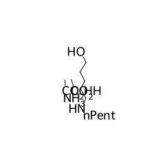 CC(=O)O.CC(=O)O.CCCCCNCCCCCO.N